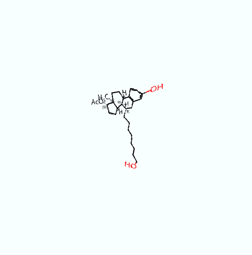 CC(=O)O[C@H]1CC[C@H]2[C@@H]3[C@H](CCCCCCCCO)Cc4cc(O)ccc4[C@H]3CC[C@]12C